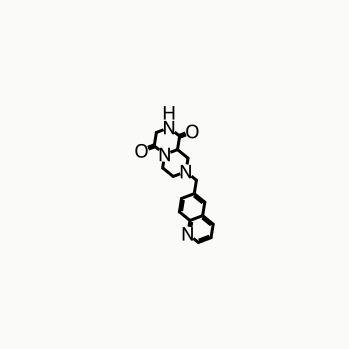 O=C1NCC(=O)N2CCN(Cc3ccc4ncccc4c3)CC12